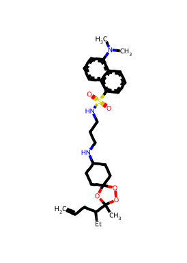 C=CCC(CC)C1(C)OOC2(CCC(NCCCNS(=O)(=O)c3cccc4c(N(C)C)cccc34)CC2)O1